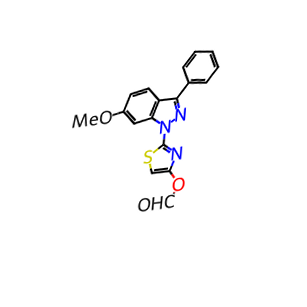 COc1ccc2c(-c3ccccc3)nn(-c3nc(OC=O)cs3)c2c1